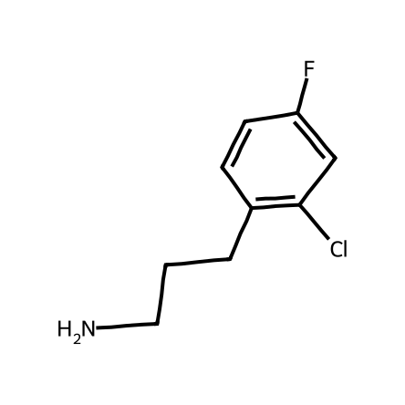 NCCCc1ccc(F)cc1Cl